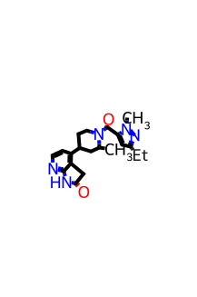 CCc1cc(C(=O)N2CCC(c3ccnc4c3CC(=O)N4)CC2C)n(C)n1